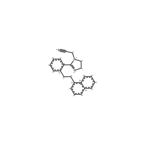 N#CCN1CCN=C1c1ccccc1CCc1cccc2ccccc12